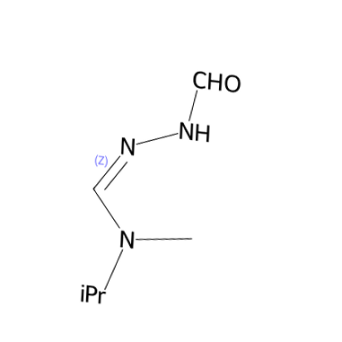 CC(C)N(C)/C=N\NC=O